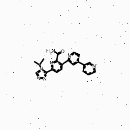 CC(C)n1cnnc1-c1ccc(-c2cc(-c3cccnc3)ccn2)c(C(N)=O)n1